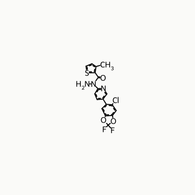 Cc1ccsc1C(=O)N(N)c1ccc(-c2cc3c(cc2Cl)OC(F)(F)O3)cn1